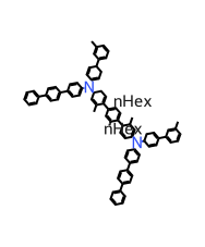 CCCCCCc1cc(C2C=CC(N(c3ccc(-c4ccc(-c5ccccc5)cc4)cc3)C3C=CC(c4cccc(C)c4)=CC3)=CC2C)c(CCCCCC)cc1C1=CCC(N(C2=CCC(c3cccc(C)c3)C=C2)c2ccc(-c3ccc(-c4ccccc4)cc3)cc2)C=C1C